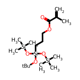 C=C(C)C(=O)OCCC[Si](OC(C)(C)C)(O[Si](C)(C)C)O[Si](C)(C)C